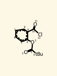 CC(C)(C)C(=O)Oc1ccccc1C(=O)Cl